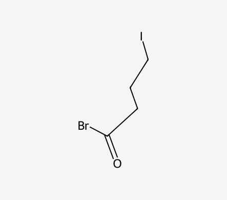 O=C(Br)CCCI